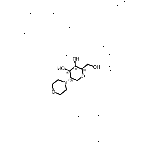 OC[C@H]1OC[C@H](N2CCOCC2)[C@@H](O)[C@H]1O